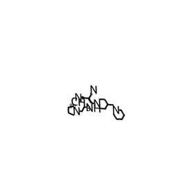 C[C@@H]1CCCN1CCNC(=C(C#N)C#N)N1CCC(CN2CCCCC2)CC1